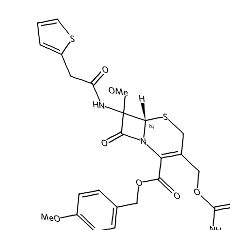 COc1ccc(COC(=O)C2=C(COC(N)=O)CS[C@@H]3N2C(=O)C3(NC(=O)Cc2cccs2)OC)cc1